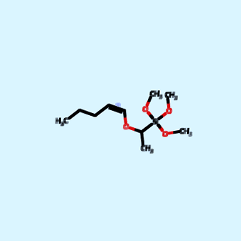 CCC/C=C\OC(C)[Si](OC)(OC)OC